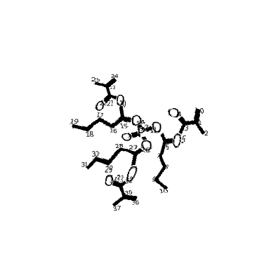 C=C(C)C(=O)OC(CCCC)OP(=O)(OC(CCCC)OC(=O)C(=C)C)OC(CCCC)OC(=O)C(=C)C